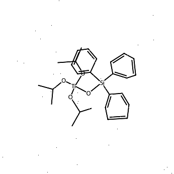 CC(C)[O][Ti]([O]C(C)C)([O]C(C)C)[O][Si](c1ccccc1)(c1ccccc1)c1ccccc1